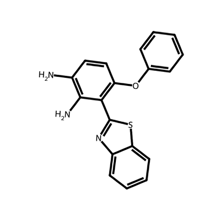 Nc1ccc(Oc2ccccc2)c(-c2nc3ccccc3s2)c1N